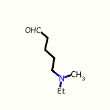 CCN(C)CCCCC=O